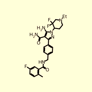 CCN1CCC(n2nc(-c3ccc(CNC(=O)c4cc(F)ccc4C)cc3)c(C(N)=O)c2N)C(F)(F)C1